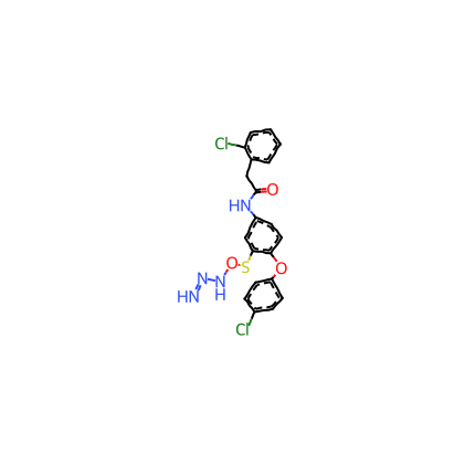 N=NNOSc1cc(NC(=O)Cc2ccccc2Cl)ccc1Oc1ccc(Cl)cc1